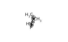 Cc1cc(-c2ccc(-c3nc4c(F)c(F)ccc4[nH]3)cn2)cnc1O[C@H]1CC[C@H](C)CC1